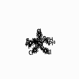 CC(C)CN(C)C(=O)CS[C@@H]1O[C@H](COCc2ccc(Cl)cc2)[C@H](OCc2ccc(Cl)cc2)[C@H](n2cc(-c3cc(F)c(F)c(F)c3)nn2)[C@H]1OCc1ccc(Cl)cc1